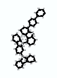 c1ccc(-c2ccc(-c3cccc4c3sc3cccc(-n5c6ccccc6c6ccc(-n7c8ccccc8c8ccccc87)cc65)c34)cc2)cc1